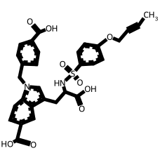 CC#CCOc1ccc(S(=O)(=O)NC(Cc2cn(Cc3ccc(C(=O)O)cc3)c3ccc(C(=O)O)cc23)C(=O)O)cc1